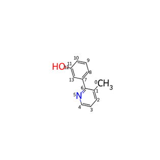 Cc1cccnc1-c1cccc(O)c1